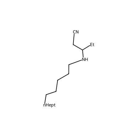 CCCCCCCCCCCCNC(CC)CC#N